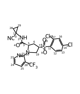 N#CC1(NC(=O)[C@H]2C[C@@H](S(=O)(=O)c3ccc(Cl)cc3Cl)CN2c2ncccc2C(F)(F)F)CC1